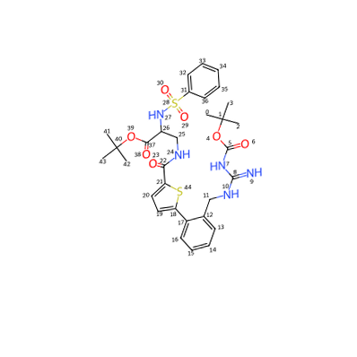 CC(C)(C)OC(=O)NC(=N)NCc1ccccc1-c1ccc(C(=O)NCC(NS(=O)(=O)c2ccccc2)C(=O)OC(C)(C)C)s1